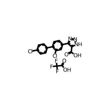 O=C(O)C(F)(F)F.O=C(O)c1[nH]nnc1-c1ccc(-c2ccc(Cl)cc2)c(Cl)c1